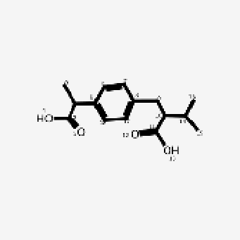 CC(C(=O)O)c1ccc(CC(C(=O)O)C(C)C)cc1